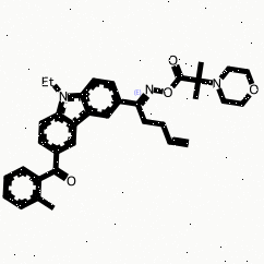 C=CCC/C(=N\OC(=O)C(C)(C)N1CCOCC1)c1ccc2c(c1)c1cc(C(=O)c3ccccc3C)ccc1n2CC